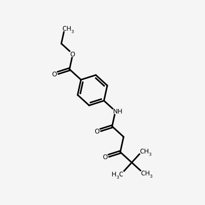 CCOC(=O)c1ccc(NC(=O)CC(=O)C(C)(C)C)cc1